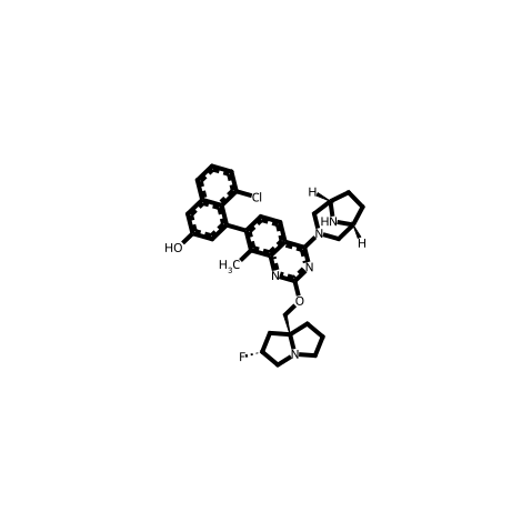 Cc1c(-c2cc(O)cc3cccc(Cl)c23)ccc2c(N3C[C@H]4CC[C@@H](C3)N4)nc(OC[C@@]34CCCN3C[C@H](F)C4)nc12